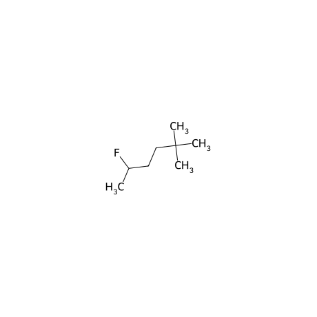 CC(F)CCC(C)(C)C